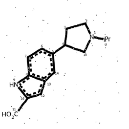 CC(C)N1CCC(c2ccc3[nH]c(C(=O)O)cc3c2)C1